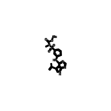 C=C(C)c1c[nH]c2ncnc(Nc3cccc(S(=O)(=O)N(C)C(=O)OC(C)(C)C)c3)c12